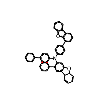 C1=CC2Oc3cc(N(c4ccc(-c5ccccc5)cc4)c4ccc(-c5cccc6c5oc5ccccc56)cc4)c(-c4ccccc4)cc3C2C=C1